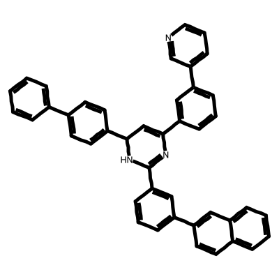 C1=C(c2cccc(-c3cccnc3)c2)N=C(c2cccc(-c3ccc4ccccc4c3)c2)NC1c1ccc(-c2ccccc2)cc1